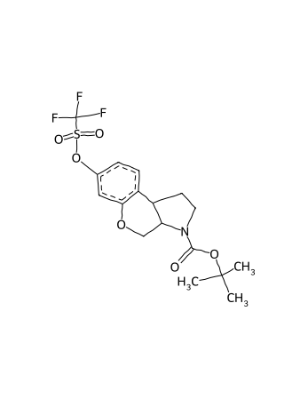 CC(C)(C)OC(=O)N1CCC2c3ccc(OS(=O)(=O)C(F)(F)F)cc3OCC21